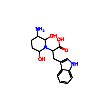 NC1CCC(O)N(C(Cc2c[nH]c3ccccc23)C(=O)O)C1O